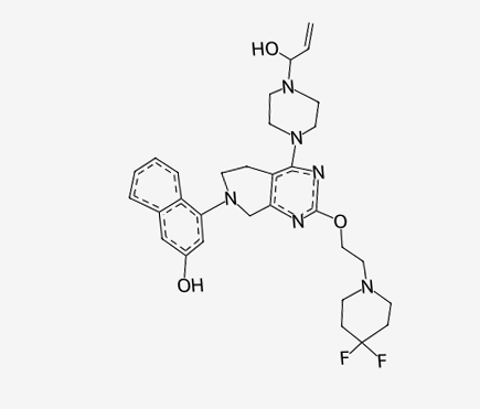 C=CC(O)N1CCN(c2nc(OCCN3CCC(F)(F)CC3)nc3c2CCN(c2cc(O)cc4ccccc24)C3)CC1